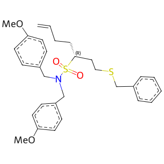 C=CCC[C@H](CCSCc1ccccc1)S(=O)(=O)N(Cc1ccc(OC)cc1)Cc1ccc(OC)cc1